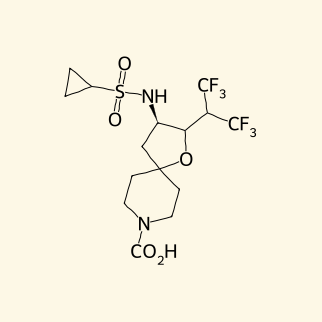 O=C(O)N1CCC2(CC1)C[C@@H](NS(=O)(=O)C1CC1)C(C(C(F)(F)F)C(F)(F)F)O2